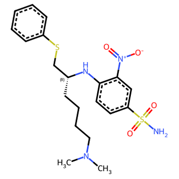 CN(C)CCCC[C@H](CSc1ccccc1)Nc1ccc(S(N)(=O)=O)cc1[N+](=O)[O-]